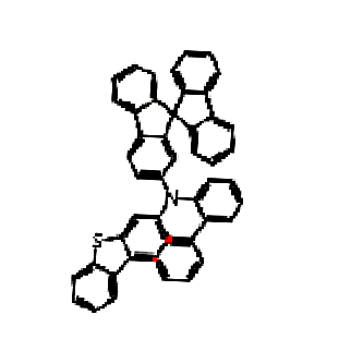 c1ccc(-c2ccccc2N(c2ccc3c(c2)C2(c4ccccc4-c4ccccc42)c2ccccc2-3)c2ccc3c(c2)sc2ccccc23)cc1